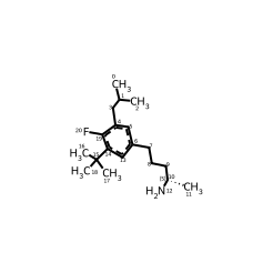 CC(C)Cc1cc(CCC[C@H](C)N)cc(C(C)(C)C)c1F